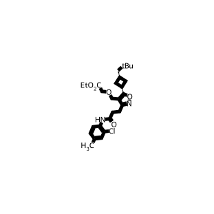 CCOC(=O)COCc1c(CCC(=O)Nc2ccc(C)cc2Cl)noc1[C@H]1C[C@@H](CC(C)(C)C)C1